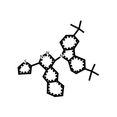 CC(C)(C)c1ccc2c(c1)c1cc(C(C)(C)C)ccc1n2-c1nnc(-c2cccs2)c2cc3ccccc3cc12